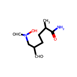 CC(CCC([C]=O)CN(O)C=O)C(N)=O